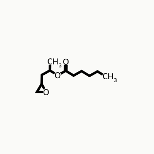 CCCCCC(=O)OC(C)CC1CO1